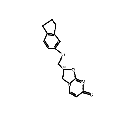 O=c1ccn2c(n1)O[C@H](COc1ccc3c(c1)CCC3)C2